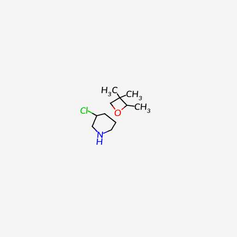 CC1OCC1(C)C.ClC1CCCNC1